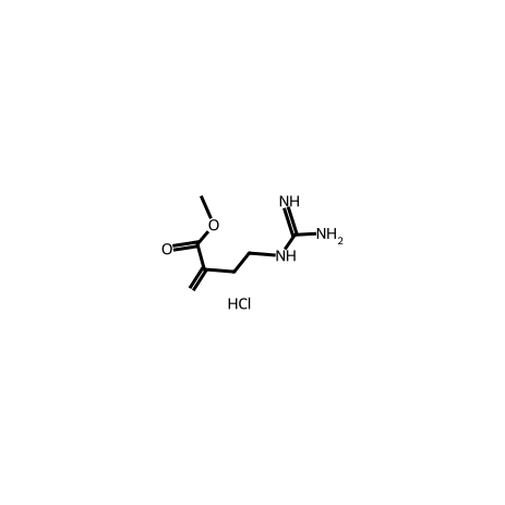 C=C(CCNC(=N)N)C(=O)OC.Cl